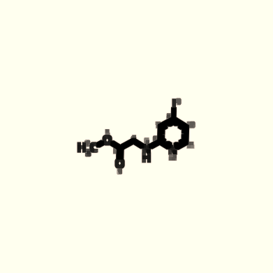 COC(=O)CNc1cc(I)ccn1